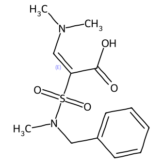 CN(C)/C=C(\C(=O)O)S(=O)(=O)N(C)Cc1ccccc1